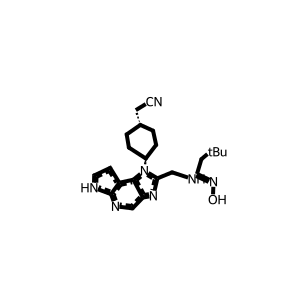 CC(C)(C)C/C(=N/O)NCc1nc2cnc3[nH]ccc3c2n1[C@H]1CC[C@@H](CC#N)CC1